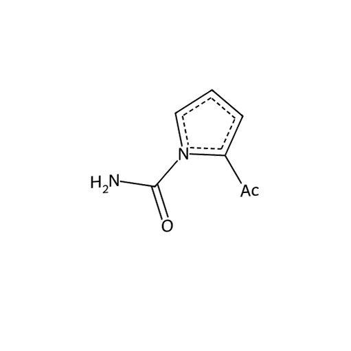 CC(=O)c1cccn1C(N)=O